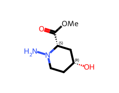 COC(=O)[C@@H]1C[C@H](O)CCN1N